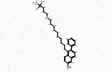 Oc1ccc2c(CCCCCCCCCCSCCCC(F)(F)C(F)(F)F)c(-c3ccccc3)ccc2c1